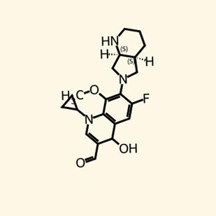 COc1c(N2C[C@@H]3CCCN[C@@H]3C2)c(F)cc2c1N(C1CC1)C=C(C=O)C2O